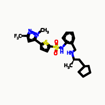 C[C@@H](CC1CCCC1)NCc1ccccc1NS(=O)(=O)c1ccc(-c2cc(C(F)(F)F)nn2C)s1